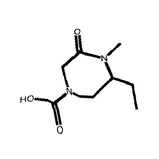 CCC1CN(C(=O)O)CC(=O)N1C